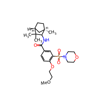 COCCOc1ccc(C(=O)NC2C(C)(C)[C@@H]3CC[C@]2(C)C3)cc1S(=O)(=O)N1CCOCC1